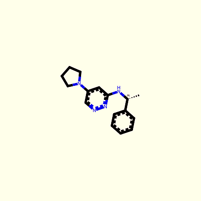 C[C@@H](Nc1cc(N2CCCC2)cnn1)c1ccccc1